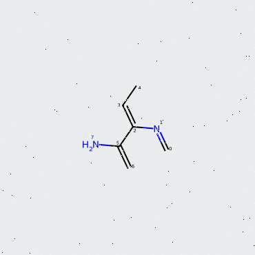 C=N/C(=C\C)C(=C)N